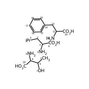 CC(C)CC(N)C(=O)O.CC(O)C(N)C(=O)O.NC(Cc1ccccc1)C(=O)O